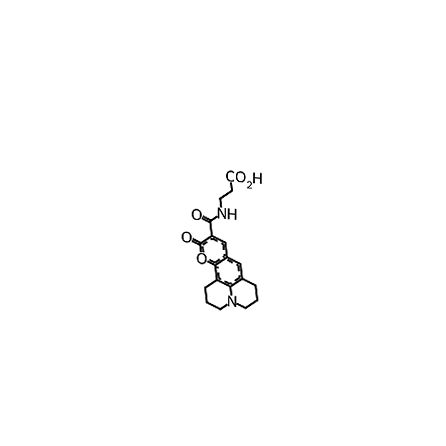 O=C(O)CCNC(=O)c1cc2cc3c4c(c2oc1=O)CCCN4CCC3